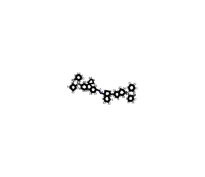 C(=C\c1ccc(-c2ccc3cc(N4c5ccccc5Sc5ccccc54)ccc3c2)c2ccccc12)/c1ccc2c(c1)C1(CCCC1)c1cc(N3c4ccccc4Sc4ccccc43)ccc1-2